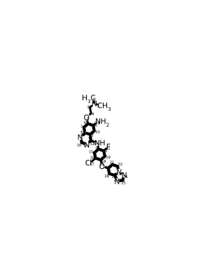 CN(C)CCOc1cc2ncnc(Nc3cc(Cl)c(Oc4ccn5ncnc5c4)cc3F)c2cc1N